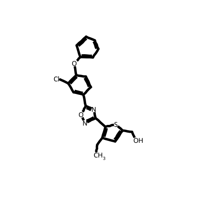 CCc1cc(CO)sc1-c1noc(-c2ccc(Oc3ccccc3)c(Cl)c2)n1